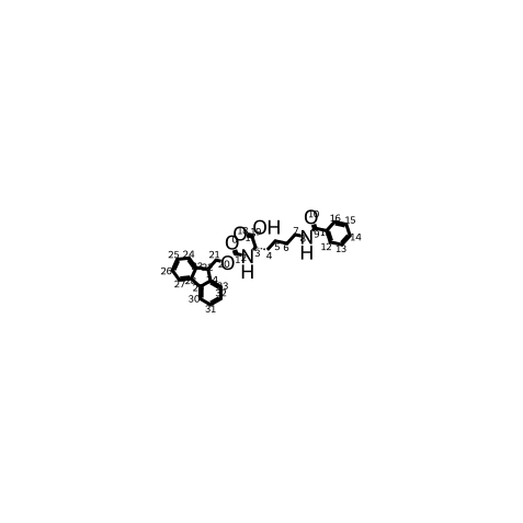 O=C(N[C@@H](CCCCNC(=O)c1ccccc1)C(=O)O)OCC1c2ccccc2-c2ccccc21